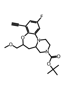 C#Cc1cc(F)cc2c1OC(COC)CC1CN(C(=O)OC(C)(C)C)CCN21